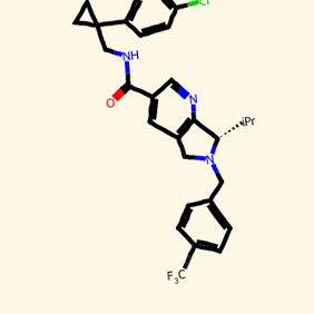 CC(C)[C@H]1c2ncc(C(=O)NCC3(c4ccc(Cl)cc4)CC3)cc2CN1Cc1ccc(C(F)(F)F)cc1